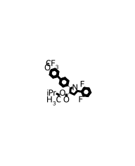 CC(C)C(C)OC(=O)[C@H]1CC(c2c(F)cccc2F)=N[C@H]1c1ccc(-c2ccc(OC(F)(F)F)cc2)cc1